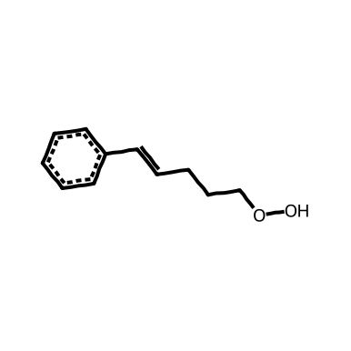 OOCCC/C=C/c1ccccc1